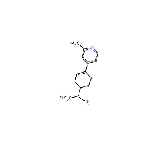 CCOC(=O)C(C)C1CC=C(c2ccnc(OC)c2)CC1